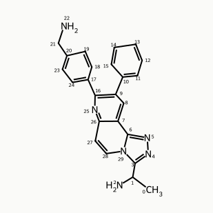 CC(N)c1nnc2c3cc(-c4ccccc4)c(-c4ccc(CN)cc4)nc3ccn12